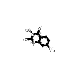 CC(C)(C)n1c(=O)[nH]c2cc(C(F)(F)F)ccc2c1=O